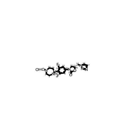 O=CN1CCNN(c2c(F)cc(N3C[C@H](Cn4ccnn4)OC3=O)cc2F)CC1